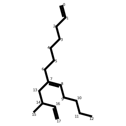 C=CCCCCCC(=CCCCC)CC(C)C=C